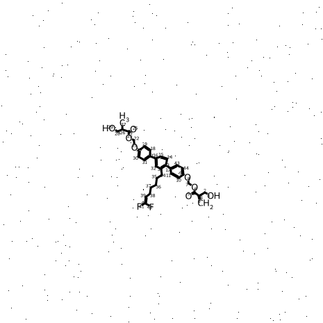 C=C(CO)C(=O)OCOc1ccc(-c2ccc(-c3ccc(OCOC(=O)C(C)CO)cc3)cc2CCCCCC=C(F)F)cc1